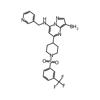 Bc1cnn2c(NCc3cccnc3)cc(C3CCN(S(=O)(=O)c4cccc(C(F)(F)F)c4)CC3)nc12